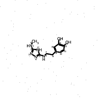 CNc1nnc(NCCc2ccc(O)c(O)c2)[nH]1